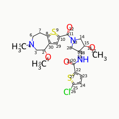 COC1CN(C)CCc2sc(C(=O)N3CC(OC)[C@H](NC(=O)c4ccc(Cl)s4)C3)cc21